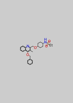 CCS(=O)(=O)NC1CCC(OCc2nc3ccccc3c(OCc3ccccc3)c2C)CC1